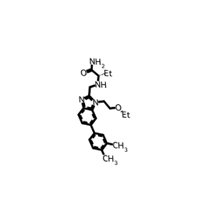 CCOCCn1c(CN[C@@H](CC)C(N)=O)nc2ccc(-c3ccc(C)c(C)c3)cc21